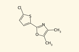 Cc1nc(-c2ccc(Cl)s2)oc1C